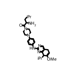 COC1=CCc2cnc(Nc3ccc(N4CCN(C(=O)C(N)CC(C)C)CC4)cc3)nc2C1C(C)C